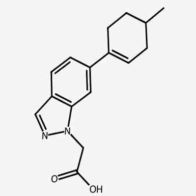 CC1CC=C(c2ccc3cnn(CC(=O)O)c3c2)CC1